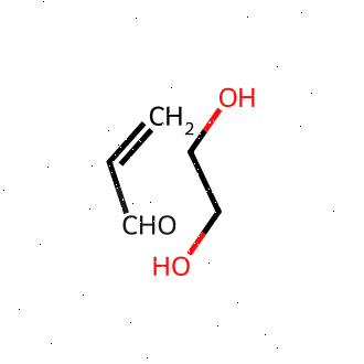 C=CC=O.OCCO